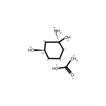 CC(=O)O.N[C@]1(O)CCC[C@@H](O)C1